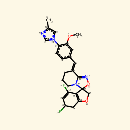 COc1cc(/C=C2\CCCN3C2=NOC32COC3=C2C(F)=CC(F)C3)ccc1-n1cnc(C)c1